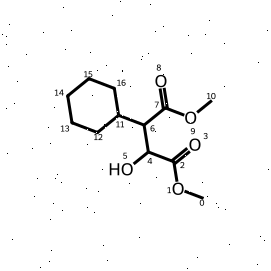 COC(=O)C(O)C(C(=O)OC)C1CCCCC1